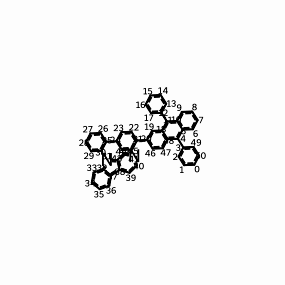 c1ccc(-c2c3ccccc3c(-c3ccccc3)c3cc(-c4ccc(-c5ccccc5-n5c6ccccc6c6ccncc65)cc4)ccc23)cc1